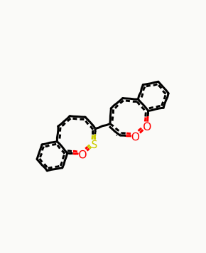 [c]1ooc2ccccc2ccc1-c1cccc2ccccc2os1